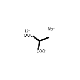 CC(C(=O)[O-])C(=O)[O-].[Li+].[Na+]